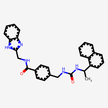 CC(NC(=O)NCc1ccc(C(=O)NCc2nc3ccccc3[nH]2)cc1)c1cccc2ccccc12